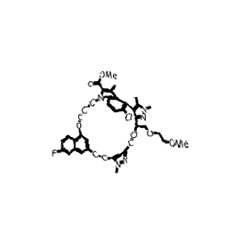 COCCOCC1OCc2cc(n(C)n2)CCc2cc(c3ccc(F)cc3c2)OCCCn2c(C(=O)OC)c(C)c3c(c(Cl)ccc32)-c2c1nn(C)c2C